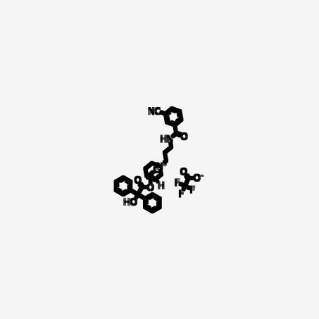 N#Cc1cccc(C(=O)NCCC[N+]23CCC(CC2)[C@@H](OC(=O)C(O)(c2ccccc2)c2ccccc2)C3)c1.O=C([O-])C(F)(F)F